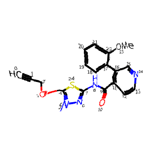 C#CCOc1nnc(NC(=O)c2ccncc2-c2ccccc2OC)s1